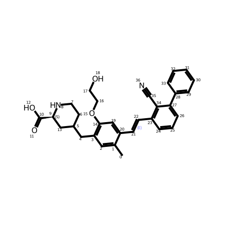 Cc1cc(CC2CCN[C@H](C(=O)O)C2)c(OCCO)cc1/C=C/c1cccc(-c2ccccc2)c1C#N